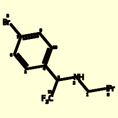 CC(C)CNC(c1ccc(Br)cc1)C(F)(F)F